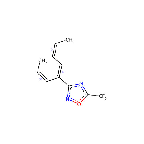 C\C=C/C=C(\C=C/C)c1noc(C(F)(F)F)n1